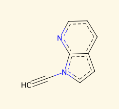 C#Cn1ccc2cccnc21